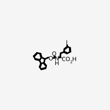 O=C(N[C@H](Cc1cccc(I)c1)C(=O)O)OCC1c2ccccc2-c2ccccc21